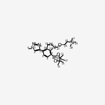 Cn1cc(-c2ccc(B3OC(C)(C)C(C)(C)O3)c3c2cnn3COCC[Si](C)(C)C)nn1